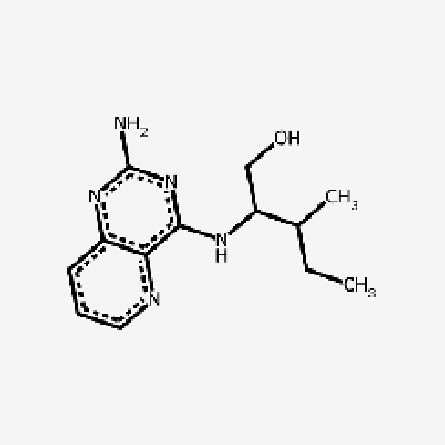 CCC(C)C(CO)Nc1nc(N)nc2cccnc12